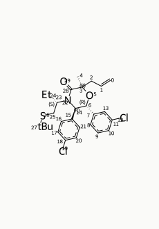 C=CC[C@@]1(C)O[C@H](c2cccc(Cl)c2)[C@@H](c2ccc(Cl)cc2)N([C@@H](CC)CSC(C)(C)C)C1=O